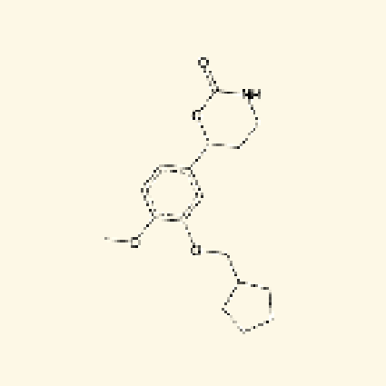 COc1ccc(C2CCNC(=O)O2)cc1OCC1CCCC1